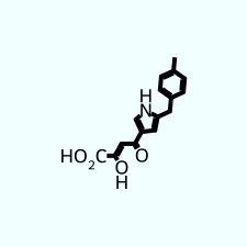 Cc1ccc(Cc2cc(C(=O)C=C(O)C(=O)O)c[nH]2)cc1